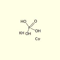 O=P(O)(O)O.[Co].[KH]